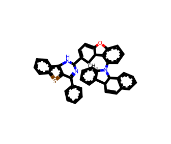 CC1C(C2N=C(c3ccccc3)c3sc4ccccc4c3N2)=CC=C2Oc3cccc(N4c5ccccc5C5C=Cc6ccccc6C54)c3C21